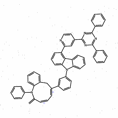 C=C1/C=C\C=C(\c2cccc(-n3c4ccccc4c4c(-c5cc(-c6nc(-c7ccccc7)nc(-c7ccccc7)n6)ccn5)cccc43)c2)Cc2ccccc2N1c1ccccc1